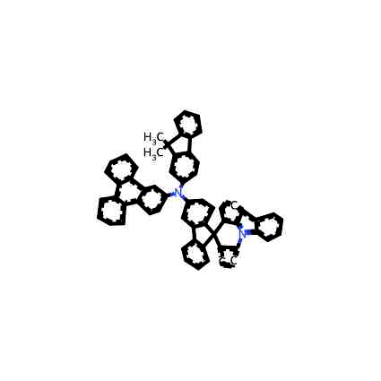 CC1(C)c2ccccc2-c2ccc(N(c3ccc4c(c3)-c3ccccc3C43c4ccccc4-n4c5ccccc5c5cccc3c54)c3ccc4c5ccccc5c5ccccc5c4c3)cc21